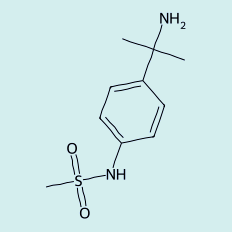 CC(C)(N)c1ccc(NS(C)(=O)=O)cc1